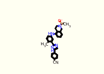 Cc1ccc(Nc2cccc3c2CCN([S+](C)[O-])C3)cc1-c1ncc(-c2ccc(C#N)cc2)[nH]1